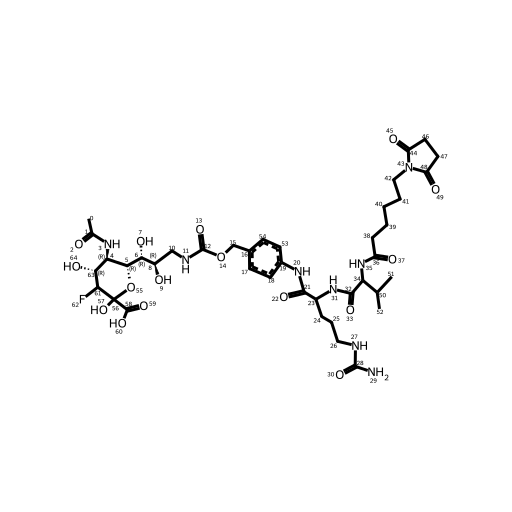 CC(=O)N[C@H]1[C@H]([C@H](O)[C@H](O)CNC(=O)OCc2ccc(NC(=O)C(CCCNC(N)=O)NC(=O)C(NC(=O)CCCCCN3C(=O)CCC3=O)C(C)C)cc2)OC(O)(C(=O)O)C(F)[C@@H]1O